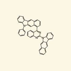 c1ccc(-n2c3ccccc3c3cc4cccc(-c5nc(-n6c7ccccc7c7cc8ccccc8cc76)nc6ccccc56)c4cc32)cc1